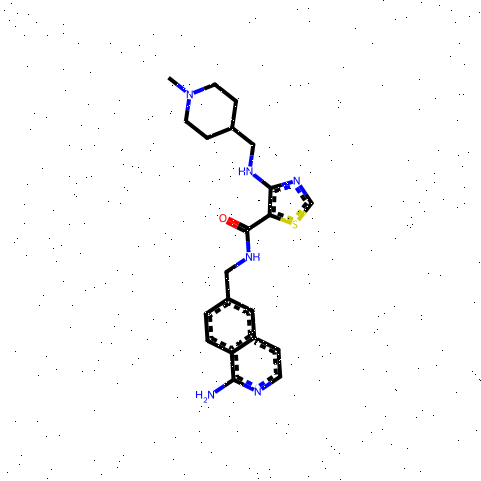 CN1CCC(CNc2ncsc2C(=O)NCc2ccc3c(N)nccc3c2)CC1